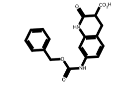 O=C(Nc1ccc2c(c1)NC(=O)C(C(=O)O)C2)OCc1ccccc1